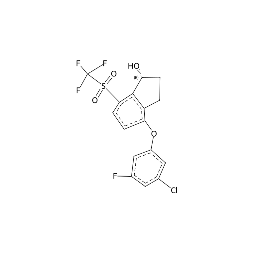 O=S(=O)(c1ccc(Oc2cc(F)cc(Cl)c2)c2c1[C@H](O)CC2)C(F)(F)F